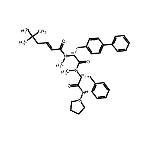 CN(C(=O)C=CCC(C)(C)N)[C@H](Cc1ccc(-c2ccccc2)cc1)C(=O)N(C)[C@H](Cc1ccccc1)C(=O)NN1CCCC1